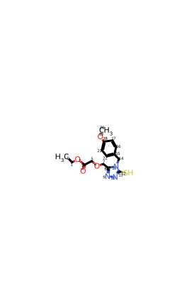 CCOC(=O)COCc1nnc(S)n1Cc1ccc(OC)cc1